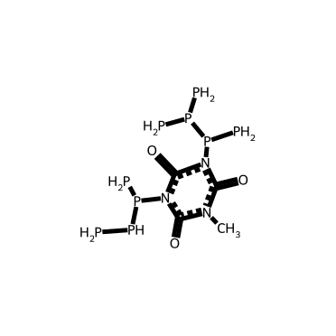 Cn1c(=O)n(P(P)PP)c(=O)n(P(P)P(P)P)c1=O